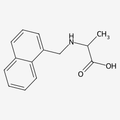 CC(NCc1cccc2ccccc12)C(=O)O